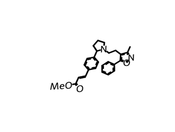 COC(=O)C=Cc1ccc(C2CCCN2CCc2c(C)noc2-c2ccccc2)cc1